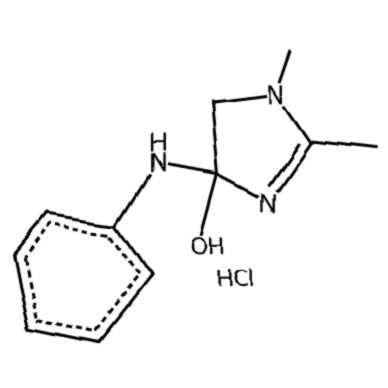 CC1=NC(O)(Nc2ccccc2)CN1C.Cl